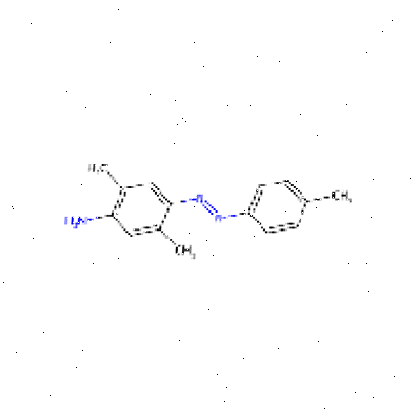 Cc1ccc(N=Nc2cc(C)c(N)cc2C)cc1